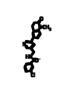 CN1C(=O)CCc2cc(-c3cncc(CN[S+]([O-])c4cccc(Cl)c4)c3)ccc21